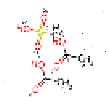 CC(=O)O.CC(=O)O.CS(=O)(=O)O